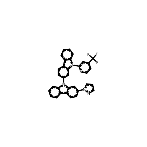 FC(F)(F)c1ccnc(-n2c3ccccc3c3ccc(-n4c5ccccc5c5ccc(-n6cccn6)cc54)cc32)c1